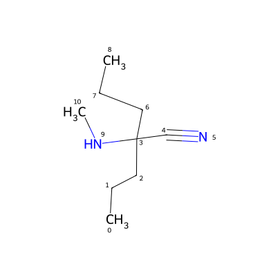 CCCC(C#N)(CCC)NC